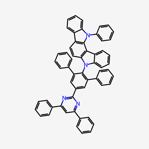 c1ccc(-c2cc(-c3ccccc3)nc(-c3cc(-c4ccccc4)c(-n4c5ccccc5c5c4ccc4c6ccccc6n(-c6ccccc6)c45)c(-c4ccccc4)c3)n2)cc1